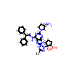 CCc1nnn([C@@]2(O)[C@H](O)CC[C@H]2n2cnc3c(NCC(c4ccccc4)c4ccccc4)nc(N4CC[C@@H](N)C4)nc32)n1